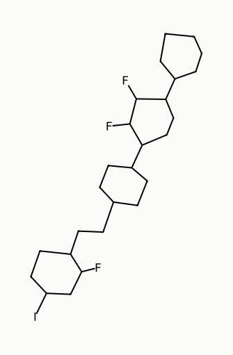 FC1CC(I)CCC1CCC1CCC(C2CCC(C3CCCCC3)C(F)C2F)CC1